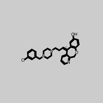 Oc1ccc2c(c1)/C(=C/CCN1CCN(Cc3cccc(Cl)c3)CC1)c1cccnc1CO2